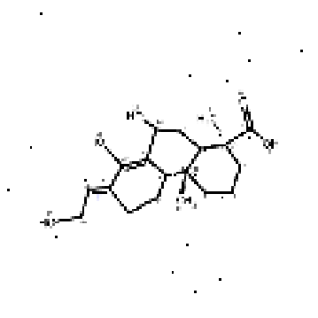 C[C@]12CCC[C@](C)(C(=O)O)C1CC(O)C1=C(O)/C(=C/CO)CCC12